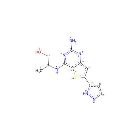 CC(CO)Nc1nc(N)nc2cc(-c3ccn[nH]3)sc12